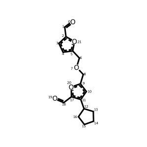 O=Cc1ccc(COCc2cc(C3CCCC3)c(C=O)o2)o1